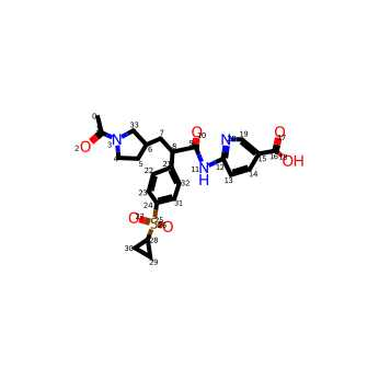 CC(=O)N1CCC(CC(C(=O)Nc2ccc(C(=O)O)cn2)c2ccc(S(=O)(=O)C3CC3)cc2)C1